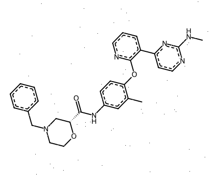 CNc1nccc(-c2cccnc2Oc2ccc(NC(=O)[C@H]3CN(Cc4ccccc4)CCO3)cc2C)n1